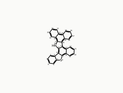 c1ccc2c(c1)sc1c3ccccc3c3c([nH]c4c5ccccc5c5ccccc5c43)c21